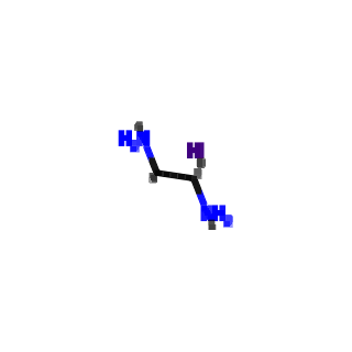 I.NCCN